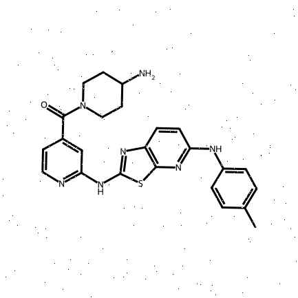 Cc1ccc(Nc2ccc3nc(Nc4cc(C(=O)N5CCC(N)CC5)ccn4)sc3n2)cc1